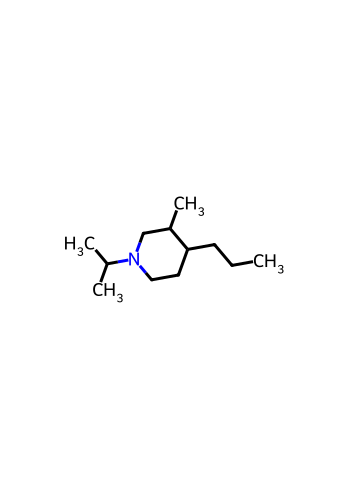 CCCC1CCN(C(C)C)CC1C